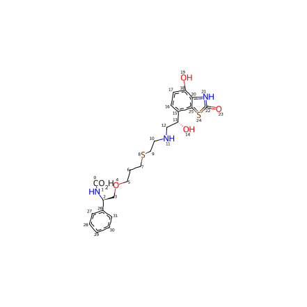 O=C(O)N[C@@H](COCCCSCCNC[C@@H](O)c1ccc(O)c2[nH]c(=O)sc12)c1ccccc1